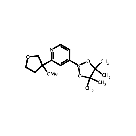 COC1(c2cc(B3OC(C)(C)C(C)(C)O3)ccn2)CCOC1